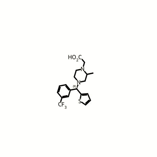 CC1CN([C@H](c2cccc(C(F)(F)F)c2)c2cccs2)CCN1CC(=O)O